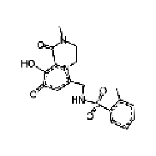 Cc1ccccc1S(=O)(=O)NCc1cc(=O)c(O)c2n1CCN(C)C2=O